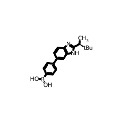 C[C@H](c1nc2ccc(-c3ccc(B(O)O)cc3)cc2[nH]1)C(C)(C)C